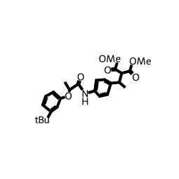 COC(=O)C(C(=O)OC)C(C)c1ccc(NC(=O)C(C)Oc2cccc(C(C)(C)C)c2)cc1